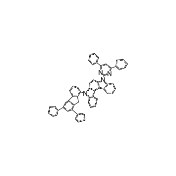 c1ccc(-c2cc(-c3ccccc3)c3c(c2)-c2cccc(-n4c5ccccc5c5c6c7ccccc7n(-c7nc(-c8ccccc8)cc(-c8ccccc8)n7)c6ccc54)c2C3)cc1